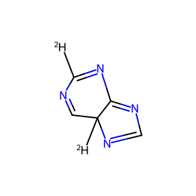 [2H]C1=NC2=NC=NC2([2H])C=N1